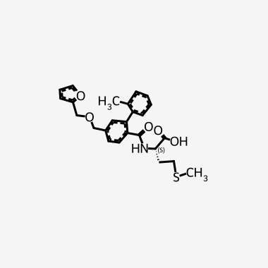 CSCC[C@H](NC(=O)c1ccc(COCc2ccco2)cc1-c1ccccc1C)C(=O)O